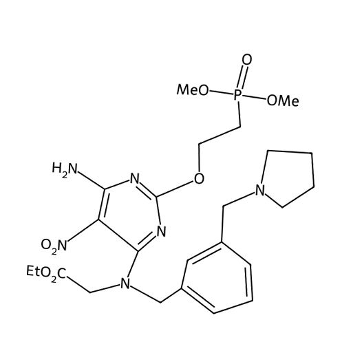 CCOC(=O)CN(Cc1cccc(CN2CCCC2)c1)c1nc(OCCP(=O)(OC)OC)nc(N)c1[N+](=O)[O-]